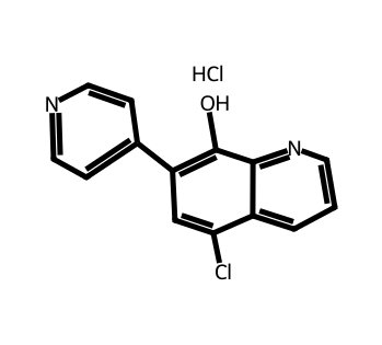 Cl.Oc1c(-c2ccncc2)cc(Cl)c2cccnc12